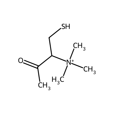 CC(=O)C(CS)[N+](C)(C)C